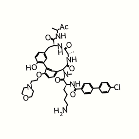 CC(=O)[C@H](C)NC(=O)[C@@H]1Cc2ccc(O)c(c2)-c2cc(ccc2OCCN2CCOCC2)[C@H](N(C)C(=O)[C@H](CCCCN)NC(=O)c2ccc(-c3ccc(Cl)cc3)cc2)C(=O)N[C@@H](C)C(=O)N1